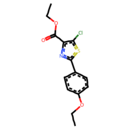 CCOC(=O)c1nc(-c2ccc(OCC)cc2)sc1Cl